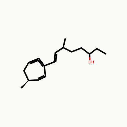 CCC(O)CCC(C)/C=C/C1=C=CC[C@H](C)C=C1